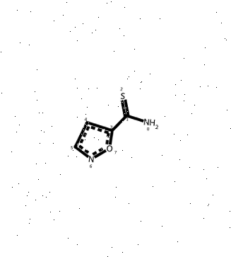 NC(=S)c1ccno1